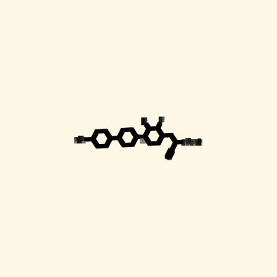 C#CC(CCCCC)CC1CC[C@@H](C2CCC(C3CCC(CCC)CC3)CC2)C(F)C1F